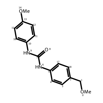 COCc1ccc(NC(=O)Nc2ccc(OC)cc2)cc1